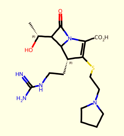 C[C@@H](O)C1C(=O)N2C(C(=O)O)=C(SCCN3CCCC3)[C@H](CCNC(=N)N)C12